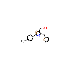 OCc1sc(-c2ccc(C(F)(F)F)cc2)nc1Cc1cccs1